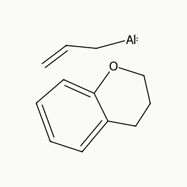 C=C[CH2][Al].c1ccc2c(c1)CCCO2